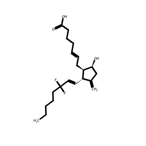 C=C1C[C@H](O)[C@H](CC=CCCCC(=O)O)[C@H]1C=CC(F)(F)CCCCC